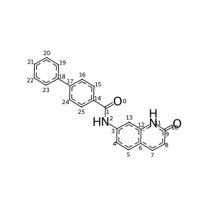 O=C(Nc1ccc2ccc(=O)[nH]c2c1)c1ccc(-c2ccccc2)cc1